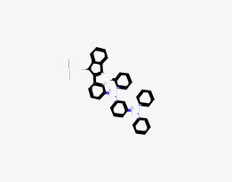 CC1(C)C2=C(B3c4ccccc4N(c4cccc(N(c5ccccc5)c5ccccc5)c4)c4cccc2c43)c2ccccc21